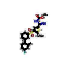 CSc1sc(C(=N)NC(=O)OC(C)(C)C)cc1S(=O)(=O)c1cccc(-c2ccc(F)cc2C)c1